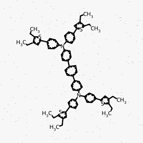 CCc1cc(-c2ccc(N(c3ccc(-c4ccc(-c5ccc(N(c6ccc(-c7cc(CC)c(CC)s7)cc6)c6ccc(-c7cc(CC)c(CC)s7)cc6)cc5)cc4)cc3)c3ccc(-c4cc(CC)c(CC)s4)cc3)cc2)sc1CC